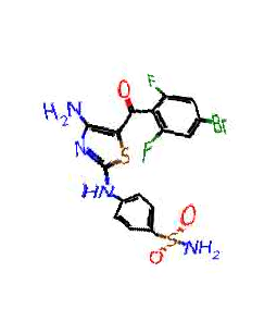 Nc1nc(Nc2ccc(S(N)(=O)=O)cc2)sc1C(=O)c1c(F)cc(Br)cc1F